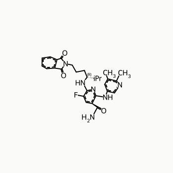 Cc1cc(Nc2nc(N[C@H](CCCN3C(=O)c4ccccc4C3=O)C(C)C)c(F)cc2C(N)=O)cnc1C